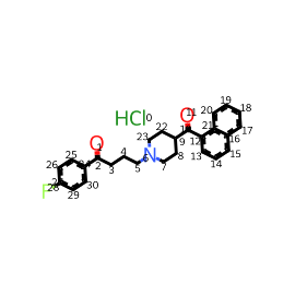 Cl.O=C(CCCN1CCC(C(=O)c2cccc3ccccc23)CC1)c1ccc(F)cc1